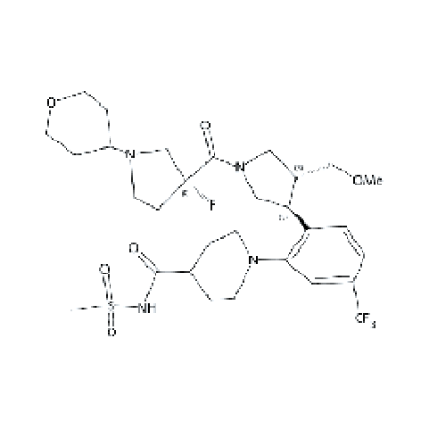 COC[C@H]1CN(C(=O)[C@@]2(F)CCN(C3CCOCC3)C2)C[C@@H]1c1ccc(C(F)(F)F)cc1N1CCC(C(=O)NS(C)(=O)=O)CC1